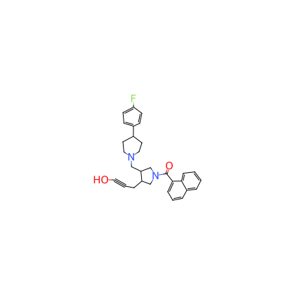 O=C(c1cccc2ccccc12)N1CC(CC#CO)C(CN2CCC(c3ccc(F)cc3)CC2)C1